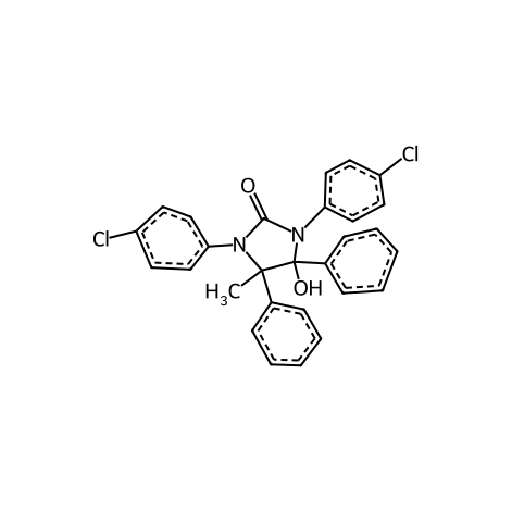 CC1(c2ccccc2)N(c2ccc(Cl)cc2)C(=O)N(c2ccc(Cl)cc2)C1(O)c1ccccc1